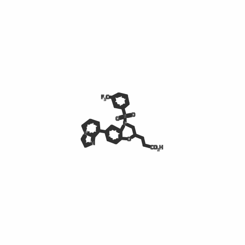 O=C(O)CCC1CN(S(=O)(=O)c2cccc(C(F)(F)F)c2)c2cc(-c3cccn4ccnc34)ccc2O1